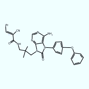 CC(C)/C=C(\C#N)C(=O)NCC(C)(C)Cn1c(=O)n(-c2ccc(Oc3ccccc3)cc2)c2c(N)ncnc21